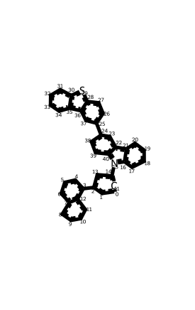 c1cc(-c2cccc3ccccc23)cc(-n2c3ccccc3c3cc(-c4ccc5sc6ccccc6c5c4)ccc32)c1